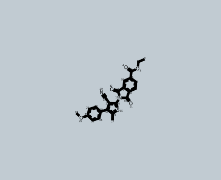 CCOC(=O)c1ccc2c(c1)C(=O)N(c1sc(C)c(-c3ccc(OC)cc3)c1C#N)C2=O